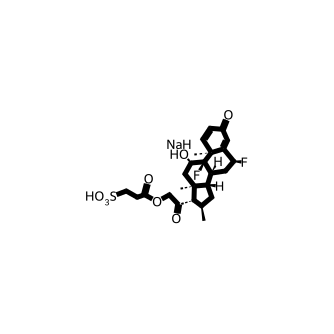 C[C@@H]1C[C@H]2[C@@H]3C[C@H](F)C4=CC(=O)C=C[C@]4(C)[C@@]3(F)[C@@H](O)C[C@]2(C)[C@H]1C(=O)COC(=O)CCS(=O)(=O)O.[NaH]